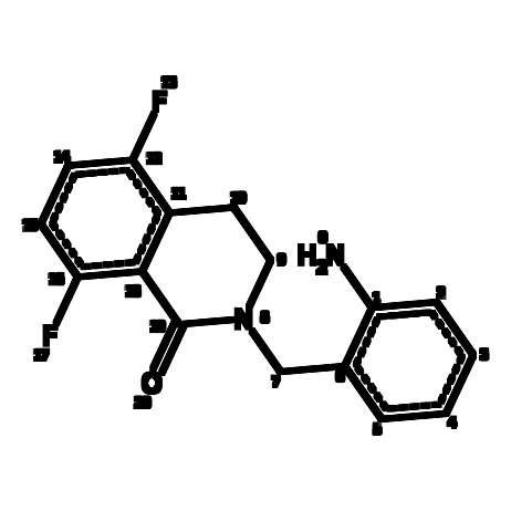 Nc1ccccc1CN1CCc2c(F)ccc(F)c2C1=O